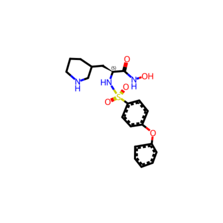 O=C(NO)[C@H](CC1CCCNC1)NS(=O)(=O)c1ccc(Oc2ccccc2)cc1